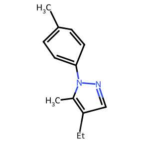 CCc1cnn(-c2ccc(C)cc2)c1C